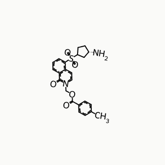 Cc1ccc(C(=O)OCn2ccc3c(S(=O)(=O)C4CC[C@H](N)C4)cccc3c2=O)cc1